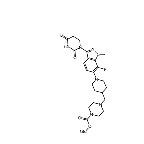 Cn1nc(N2CCC(=O)NC2=O)c2ccc(N3CCC(CN4CCN(C(=O)OC(C)(C)C)CC4)CC3)c(F)c21